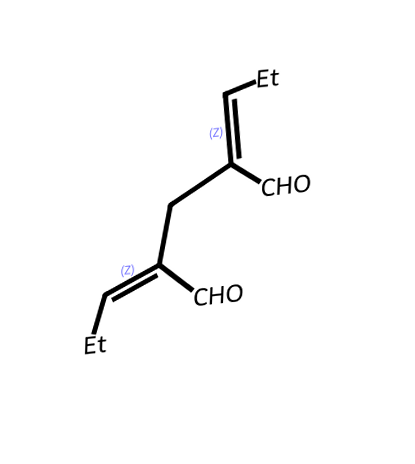 CC/C=C(\C=O)C/C(C=O)=C/CC